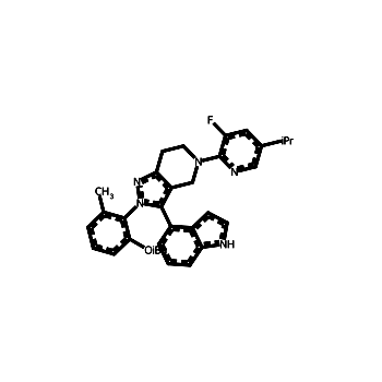 Cc1cccc(OCC(C)C)c1-n1nc2c(c1-c1cccc3[nH]ccc13)CN(c1ncc(C(C)C)cc1F)CC2